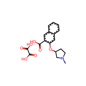 CN1CCC(Oc2cc3ccccc3cc2C(=O)O)C1.O=C(O)C(=O)O